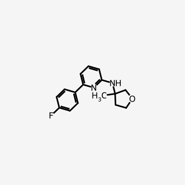 CC1(Nc2cccc(-c3ccc(F)cc3)n2)CCOC1